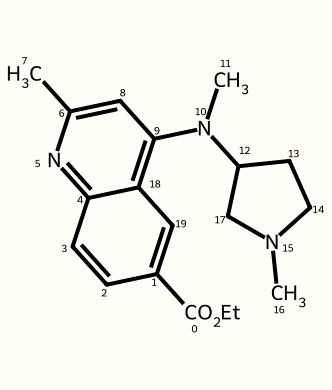 CCOC(=O)c1ccc2nc(C)cc(N(C)C3CCN(C)C3)c2c1